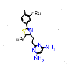 CCCCc1cc(-c2nc(CCc3nc(N)cc(N)n3)c(CCC)s2)ccc1C